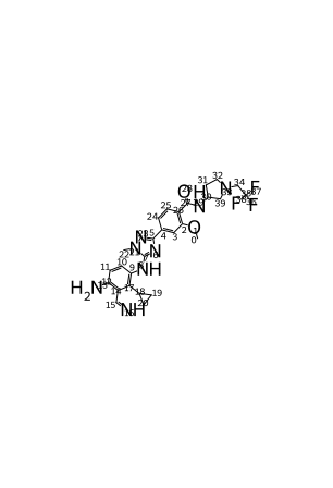 COc1cc(-c2nc(Nc3ccc(N)c(C=N)c3C3CC3)n(C)n2)ccc1C(=O)NC1CCN(CC(F)(F)F)C1